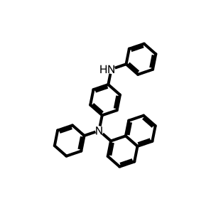 C1=CC(N(c2ccc(Nc3ccccc3)cc2)c2cccc3ccccc23)=CCC1